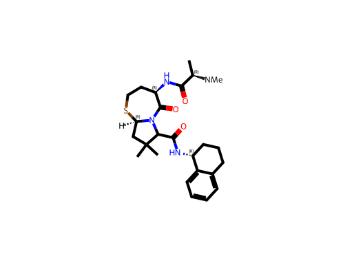 CN[C@H](C)C(=O)N[C@@H]1CCS[C@@H]2CC(C)(C)C(C(=O)N[C@@H]3CCCc4ccccc43)N2C1=O